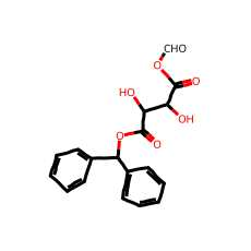 O=COC(=O)C(O)C(O)C(=O)OC(c1ccccc1)c1ccccc1